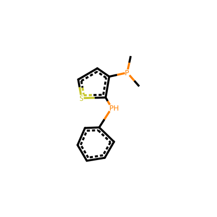 CP(C)c1ccsc1Pc1ccccc1